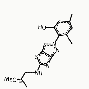 CO[C@H](C)CNc1nc2nn(-c3c(C)cc(C)cc3O)cc2s1